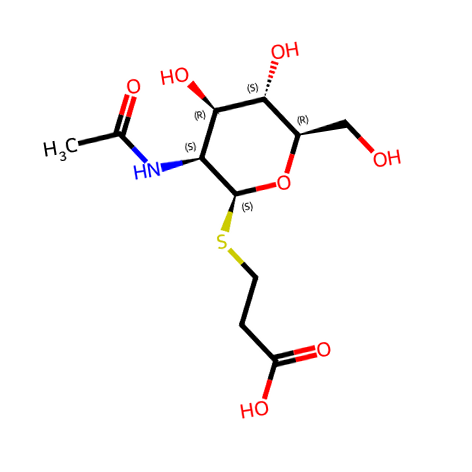 CC(=O)N[C@H]1[C@@H](O)[C@H](O)[C@@H](CO)O[C@H]1SCCC(=O)O